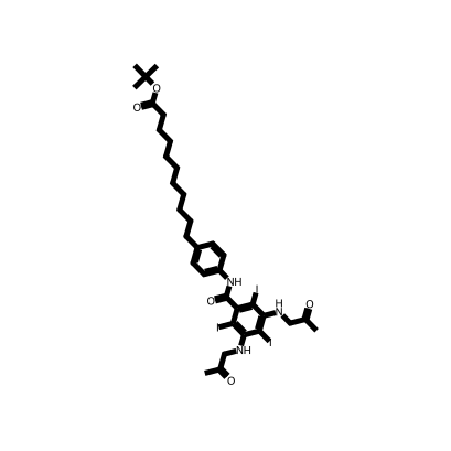 CC(=O)CNc1c(I)c(NCC(C)=O)c(I)c(C(=O)Nc2ccc(CCCCCCCCCCC(=O)OC(C)(C)C)cc2)c1I